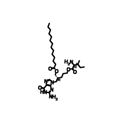 CCCCCCCCCCCCCC(=O)OC[C@H](CCCOC(=O)[C@@H](N)[C@@H](C)CC)Cn1cnc2c(=O)[nH]c(N)nc21